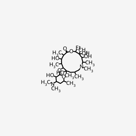 CCC1OC(=O)C(C)C(O)C(C)C(OC2OC(C)CC(N(C)C)C2O)C(C)(O)CC(C)CN(C)C(C)C(O)C1(C)O